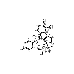 Cc1ccc(S(=O)(=O)n2c3c(c4c(Cl)c(Cl)ccc42)CCC3(O[Si](C)(C)C)C(F)(F)F)cc1